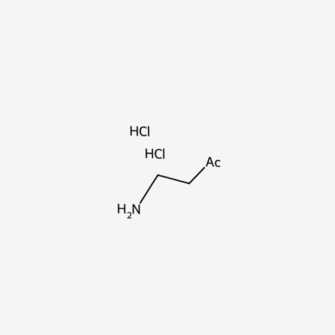 CC(=O)CCN.Cl.Cl